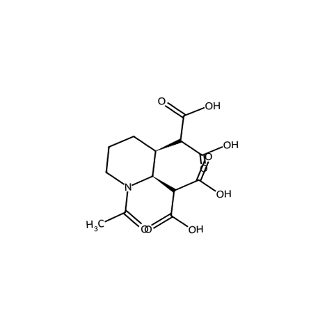 CC(=O)N1CCC[C@@H](C(C(=O)O)C(=O)O)[C@H]1C(C(=O)O)C(=O)O